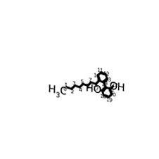 CCCCCCCCCc1ccccc1-c1c(O)cccc1O